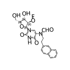 O=CN(CCc1ccc2ccccc2c1)c1cn([C@@H]2O[C@H](CO)[C@H](O)[C@H]2OF)c(=O)[nH]c1=O